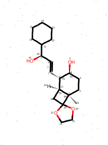 C[C@@]12CC[C@H](O)[C@@H](/C=C/[C@@H](O)C3CCCCC3)[C@@H]1CC21OCCO1